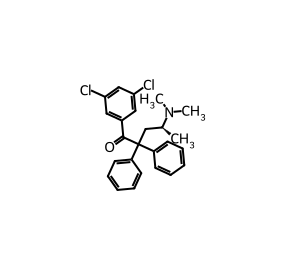 C[C@@H](CC(C(=O)c1cc(Cl)cc(Cl)c1)(c1ccccc1)c1ccccc1)N(C)C